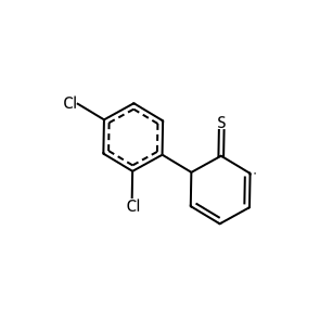 S=C1[C]=CC=CC1c1ccc(Cl)cc1Cl